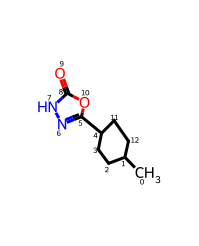 CC1CCC(c2n[nH]c(=O)o2)CC1